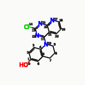 Oc1ccc2c(c1)CCCN2c1nc(Cl)nc2ncccc12